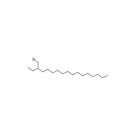 CCCCCCCCCCCCCCC(CC)C[O]